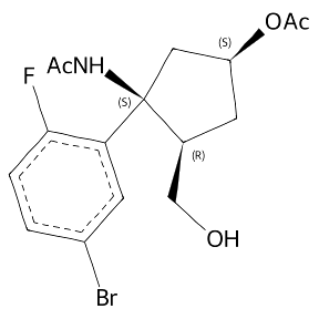 CC(=O)N[C@@]1(c2cc(Br)ccc2F)C[C@@H](OC(C)=O)C[C@H]1CO